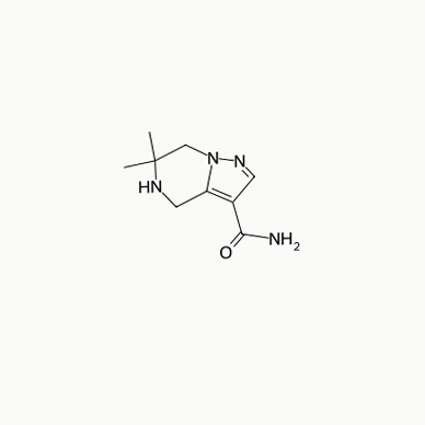 CC1(C)Cn2ncc(C(N)=O)c2CN1